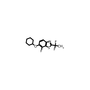 CC(F)(F)c1nc2ccc(OC3CCCCC3)c(F)c2s1